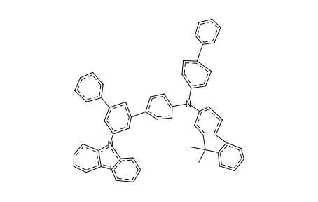 CC1(C)c2ccccc2-c2ccc(N(c3ccc(-c4ccccc4)cc3)c3ccc(-c4cc(-c5ccccc5)cc(-n5c6ccccc6c6ccccc65)c4)cc3)cc21